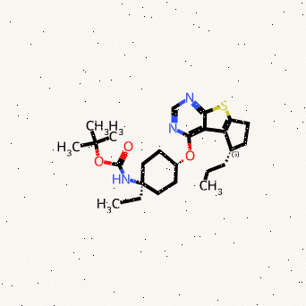 CCC[C@H]1CCc2sc3ncnc(O[C@H]4CC[C@](CC)(NC(=O)OC(C)(C)C)CC4)c3c21